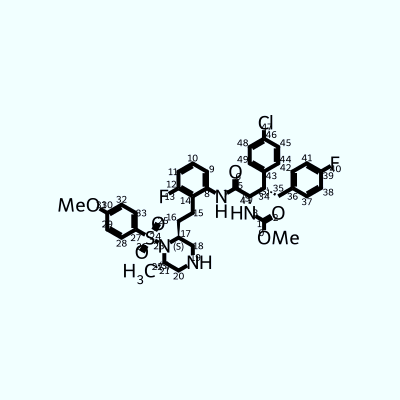 COC(=O)N[C@H](C(=O)Nc1cccc(F)c1CC[C@H]1CNC[C@H](C)N1S(=O)(=O)c1ccc(OC)cc1)[C@@H](Cc1ccc(F)cc1)c1ccc(Cl)cc1